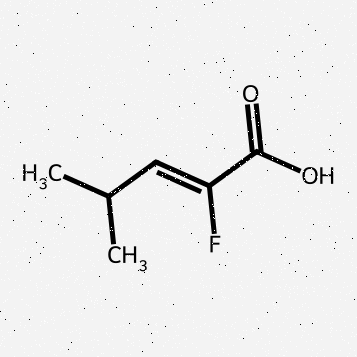 CC(C)C=C(F)C(=O)O